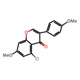 COc1ccc(-c2coc3cc(OC)cc(Cl)c3c2=O)cc1